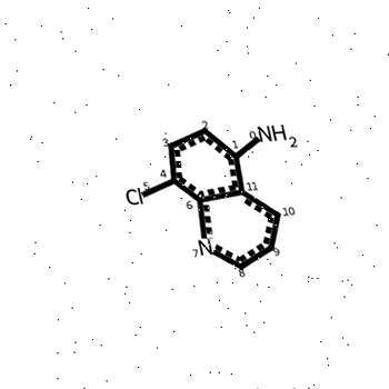 Nc1ccc(Cl)c2ncccc12